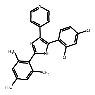 Cc1cc(C)c(-c2nc(-c3ccncc3)c(-c3ccc(Cl)cc3Cl)[nH]2)c(C)c1